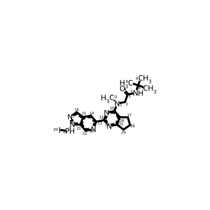 CN(CC(=O)NC(C)(C)C)c1nc(-c2cc3cnn(PI)c3cn2)nc2c1CCC2